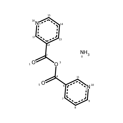 N.O=C(OC(=O)c1cccnc1)c1cccnc1